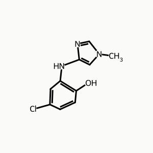 Cn1cnc(Nc2cc(Cl)ccc2O)c1